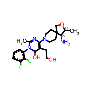 CC1=NC(N2CCC3(CC2)CO[C@@H](C)[C@H]3N)=C(CCO)C(O)N1c1cccc(Cl)c1Cl